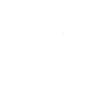 CC(C)CC(C)N(c1ccccc1)c1ccc(NC(C)C)cc1